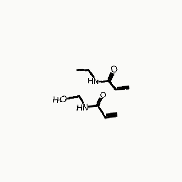 C=CC(=O)NCC.C=CC(=O)NCO